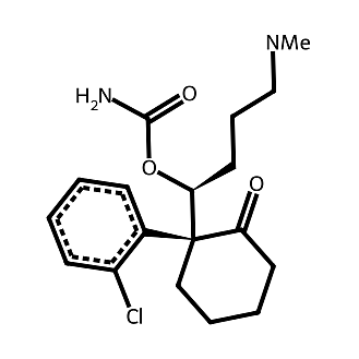 CNCCC[C@H](OC(N)=O)[C@@]1(c2ccccc2Cl)CCCCC1=O